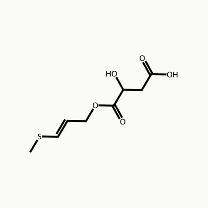 CSC=CCOC(=O)C(O)CC(=O)O